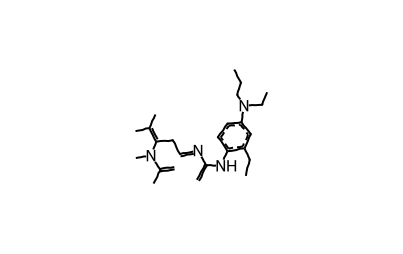 C=C(/N=C/CC(=C(C)C)N(C)C(=C)C)Nc1ccc(N(CC)CCC)cc1CC